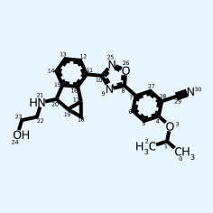 CC(C)Oc1ccc(-c2nc(-c3cccc4c3C3CC3C4NCCO)no2)cc1C#N